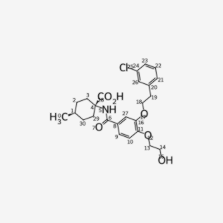 C[C@H]1CC[C@@](NC(=O)c2ccc(OCCO)c(OCCc3cccc(Cl)c3)c2)(C(=O)O)CC1